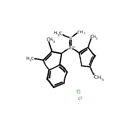 CC1=CC(C)=[C]([Zr+2]([CH]2C(C)=C(C)c3ccccc32)=[Si](C)C)C1.[Cl-].[Cl-]